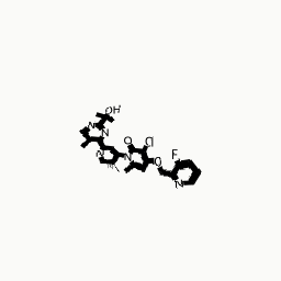 Cc1cnc(C(C)(C)O)nc1C1=NC[C@@H](C)C(n2c(C)cc(OCc3ncccc3F)c(Cl)c2=O)=C1